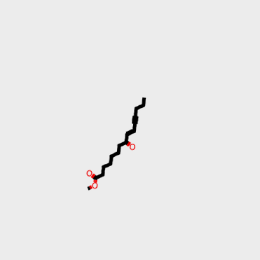 CCCC#CC=CC(=O)CCCCCCC(=O)OC